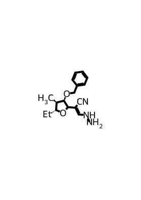 CC[C@H]1OC(/C(C#N)=C/NN)[C@H](OCc2ccccc2)[C@@H]1C